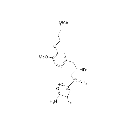 COCCCOc1cc(CC(C[C@H](N)[C@@H](O)CC(C(N)=O)C(C)C)C(C)C)ccc1OC